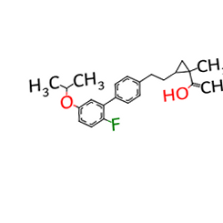 C=C(O)C1(C)CC1CCc1ccc(-c2cc(OC(C)C)ccc2F)cc1